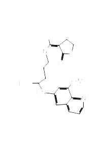 COc1cc(NC(C)CCCNC(C)=C2CCOC2=O)cc2cccnc12